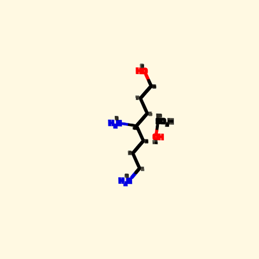 NCCCC(N)CCCO.O=S(=O)(O)O